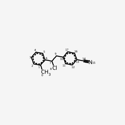 Cc1ccccc1C(Cl)Cc1ccc(C#N)cc1